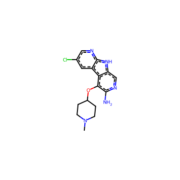 CN1CCC(Oc2c(N)ncc3[nH]c4ncc(Cl)cc4c23)CC1